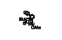 CCC(C)N(Cc1cn(CCCOC)c2cccc(N3CCOCC3)c12)C(=O)OC(C)(C)C